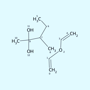 C=COC=C.CCC(C)C(C)(O)O